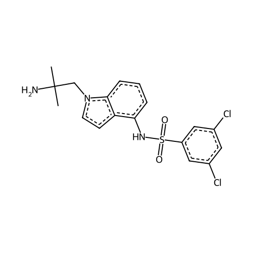 CC(C)(N)Cn1ccc2c(NS(=O)(=O)c3cc(Cl)cc(Cl)c3)cccc21